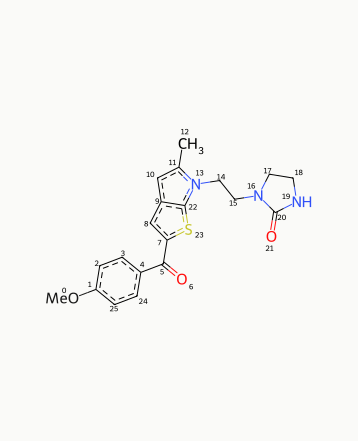 COc1ccc(C(=O)c2cc3cc(C)n(CCN4CCNC4=O)c3s2)cc1